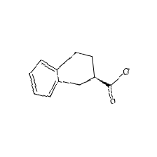 O=C(Cl)[C@@H]1CCc2ccccc2C1